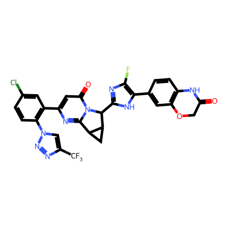 O=C1COc2cc(-c3[nH]c(C4C5CC5c5nc(-c6cc(Cl)ccc6-n6cc(C(F)(F)F)nn6)cc(=O)n54)nc3F)ccc2N1